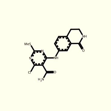 CSc1nc(Cl)c(C(N)=O)c(Nc2ccc3c(c2)C(=O)NCC3)n1